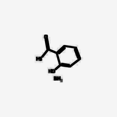 O=C(S)c1ccccc1O.[BiH3]